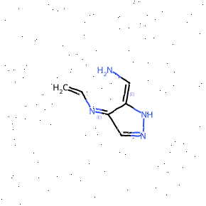 C=C/N=C1/C=NN/C1=C/N